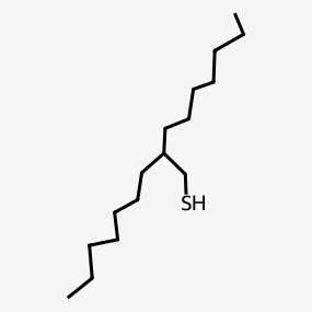 CCCCCCCC(CS)CCCCCCC